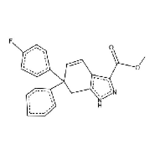 COC(=O)c1n[nH]c2c1C=CC(c1ccccc1)(c1ccc(F)cc1)C2